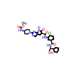 CC(C)(C)OC(=O)NC1CCN(c2ncc3cc(C(=O)Nc4cc(C(=O)NC(CO)c5ccccc5)ccc4Cl)c(=O)[nH]c3n2)CC1